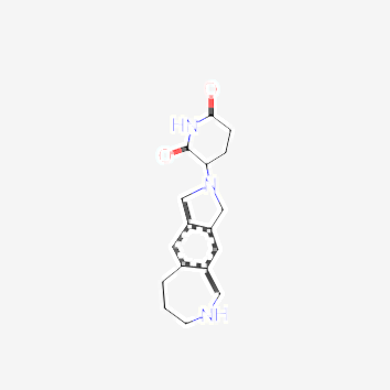 O=C1CCC(N2C=c3cc4c(cc3C2)=CNCCC4)C(=O)N1